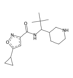 CC(C)(C)C(NC(=O)c1cc(C2CC2)on1)C1CCCNC1